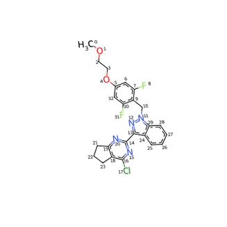 COCCOc1cc(F)c(Cn2nc(-c3nc(Cl)c4c(n3)CCC4)c3ccccc32)c(F)c1